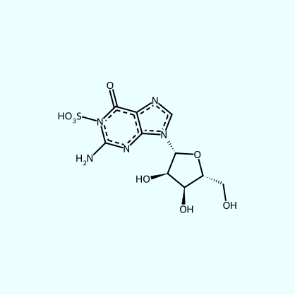 Nc1nc2c(ncn2[C@@H]2O[C@H](CO)[C@@H](O)[C@H]2O)c(=O)n1S(=O)(=O)O